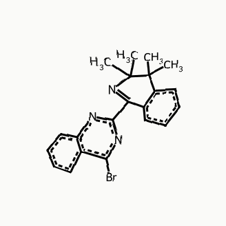 CC1(C)N=C(c2nc(Br)c3ccccc3n2)c2ccccc2C1(C)C